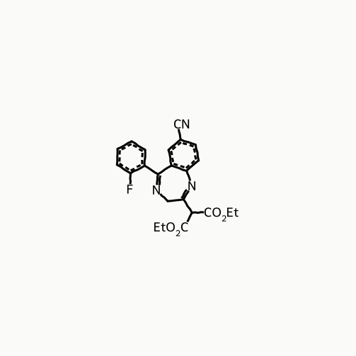 CCOC(=O)C(C(=O)OCC)C1=Nc2ccc(C#N)cc2C(c2ccccc2F)=NC1